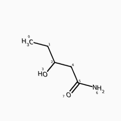 CCC(O)CC(N)=O